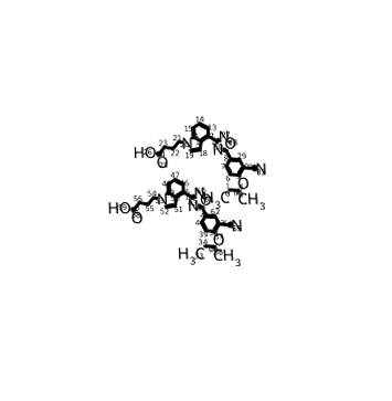 CC[C@@H](C)Oc1ccc(-c2nc(-c3cccc4c3ccn4CCCC(=O)O)no2)cc1C#N.CC[C@H](C)Oc1ccc(-c2nc(-c3cccc4c3ccn4CCCC(=O)O)no2)cc1C#N